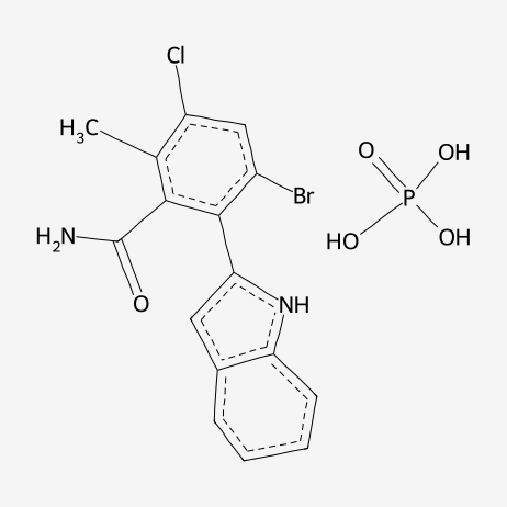 Cc1c(Cl)cc(Br)c(-c2cc3ccccc3[nH]2)c1C(N)=O.O=P(O)(O)O